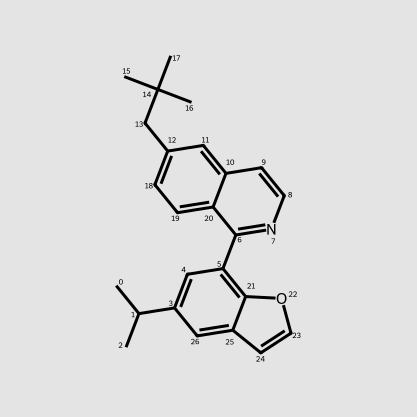 CC(C)c1cc(-c2nccc3cc(CC(C)(C)C)ccc23)c2occc2c1